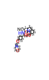 CCCC(NC(=O)C(C#N)=Cc1ccc2cccc(O)c2n1)c1ccc(OCCN2CCOCC2)cc1